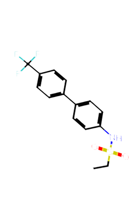 CCS(=O)(=O)Nc1ccc(-c2ccc(C(F)(F)F)cc2)cc1